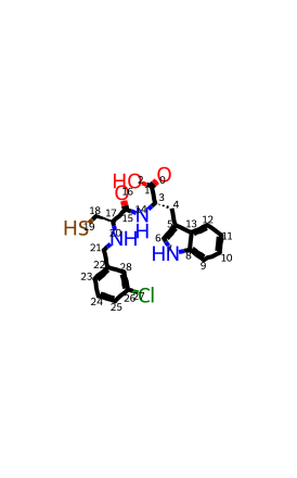 O=C(O)[C@H](Cc1c[nH]c2ccccc12)NC(=O)[C@H](CS)NCc1cccc(Cl)c1